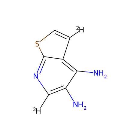 [2H]c1nc2scc([2H])c2c(N)c1N